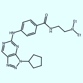 CCN(CC)CCNC(=O)c1ccc(Nc2ncc3nnn(C4CCCC4)c3n2)cc1